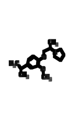 COc1cc(C(C)C)ccc1OCC(C)N1CCCC1